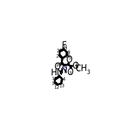 COC(=O)C(=O)/C(=N/Nc1ccccc1)C(=O)c1ccc(F)cc1